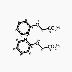 O=C(O)COc1ccccc1.O=C(O)COc1ccccn1